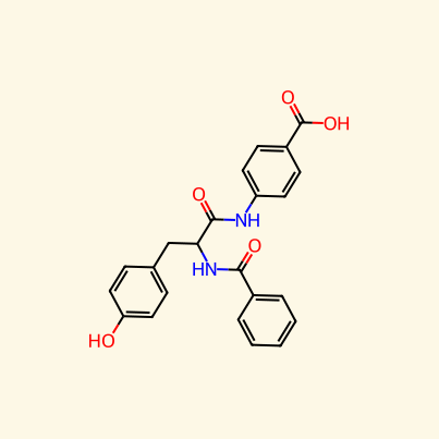 O=C(O)c1ccc(NC(=O)C(Cc2ccc(O)cc2)NC(=O)c2ccccc2)cc1